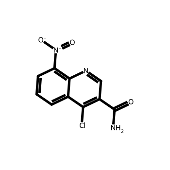 NC(=O)c1cnc2c([N+](=O)[O-])cccc2c1Cl